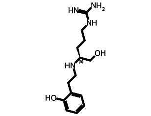 N=C(N)NCCC[C@@H](CO)NCCc1ccccc1O